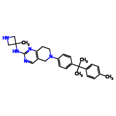 Cc1ccc(C(C)(C)c2ccc(N3CCc4nc(NC5(C)CNC5)ncc4C3)cc2)cc1